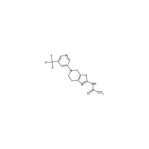 CC(=O)Nc1nc2c(s1)CN(c1cncc(C(F)(F)F)c1)CC2